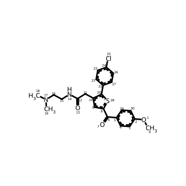 COc1ccc(C(=O)c2cc(CC(=O)NCCN(C)C)c(-c3ccc(Cl)cc3)s2)cc1